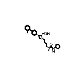 Cc1ccccc1-c1ccc([C@@H]2CN(CCCCN(C)C(=O)NC3CCCC3)[C@@H]2CO)cc1